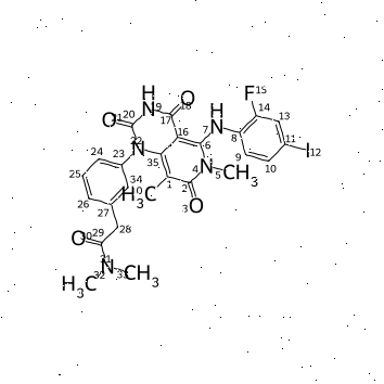 Cc1c(=O)n(C)c(Nc2ccc(I)cc2F)c2c(=O)[nH]c(=O)n(-c3cccc(CC(=O)N(C)C)c3)c12